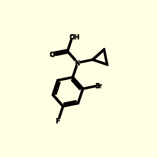 O=C(O)N(c1ccc(F)cc1Br)C1CC1